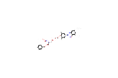 COc1cc(OC)c2c(=O)[nH]c(-c3cc(C)c(OCCOC(=O)C[C@H](NC(=O)OC(C)(C)C)C(=O)OCc4ccccc4)c(C)c3)nc2c1